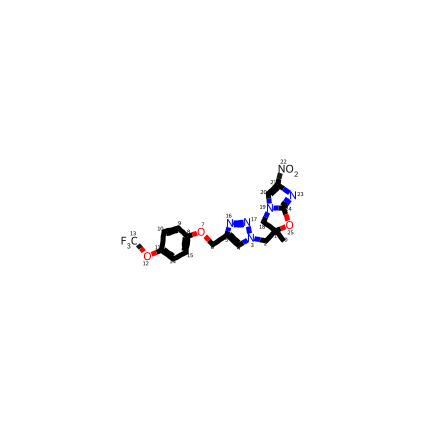 CC1(Cn2cc(COc3ccc(OC(F)(F)F)cc3)nn2)Cn2cc([N+](=O)[O-])nc2O1